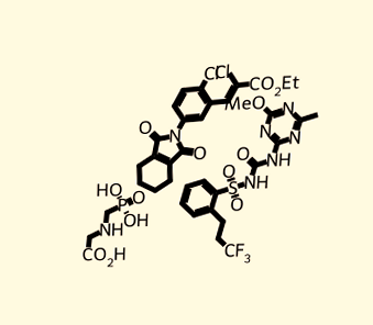 CCOC(=O)/C(Cl)=C/c1cc(N2C(=O)C3=C(CCCC3)C2=O)ccc1Cl.COc1nc(C)nc(NC(=O)NS(=O)(=O)c2ccccc2CCC(F)(F)F)n1.O=C(O)CNCP(=O)(O)O